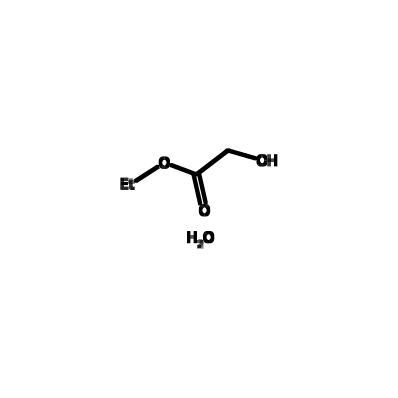 CCOC(=O)CO.O